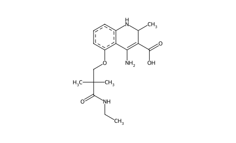 CCNC(=O)C(C)(C)COc1cccc2c1C(N)=C(C(=O)O)C(C)N2